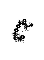 CCN(CC)[C@@H](C(=O)N1CCC[C@H]1c1ncc(-c2ccc(-c3ccc(-c4cnc([C@@H]5CCCN5C(=O)C[C@@H](Cc5cccs5)OC(N)=O)[nH]4)cc3)cc2)[nH]1)c1ccccc1